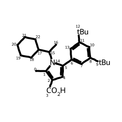 Cc1c(C(=O)O)cc(-c2cc(C(C)(C)C)cc(C(C)(C)C)c2)n1C(C)C1CCCCC1